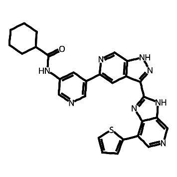 O=C(Nc1cncc(-c2cc3c(-c4nc5c(-c6cccs6)cncc5[nH]4)n[nH]c3cn2)c1)C1CCCCC1